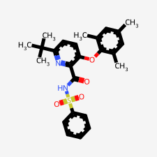 Cc1cc(C)c(Oc2ccc(C(C)(C)C)nc2C(=O)NS(=O)(=O)c2ccccc2)c(C)c1